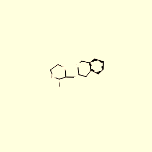 C[C@H]1NCCOC1C[C@@H]1Cc2ccccc2CN1